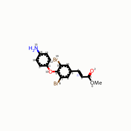 COC(=O)/C=C/c1cc(Br)c(Oc2ccc(N)cc2)c(Br)c1